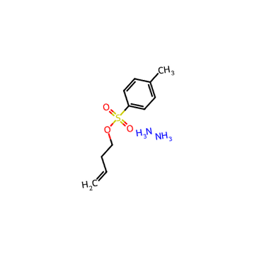 C=CCCOS(=O)(=O)c1ccc(C)cc1.N.N